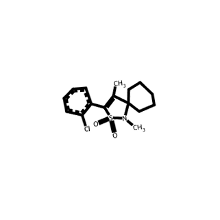 CC1=C(c2ccccc2Cl)S(=O)(=O)N(C)C12CCCCC2